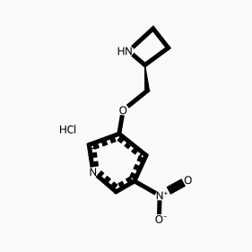 Cl.O=[N+]([O-])c1cncc(OC[C@@H]2CCN2)c1